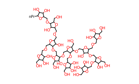 CCCC1OC(COC2C(CO)OC(COCC3OC(COCC4OC(CO)C(O)C4O)C(OCC4OC(CO)C(O)C4OCC4OC(CO)C(OCC5OC(COCC6OC(CO)C(O)C6O)C(OCC6OC(CO)C(O)C6OCC6OC(CO)C(O)C6O)C5O)C4OCC4OC(CO)C(O)C4O)C3O)C2O)C(O)C1O